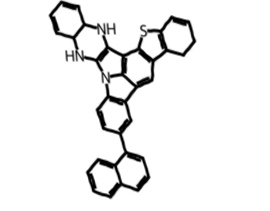 C1=CC2Nc3c(n4c5ccc(-c6cccc7ccccc67)cc5c5cc6c7c(sc6c3c54)C=CCC7)NC2C=C1